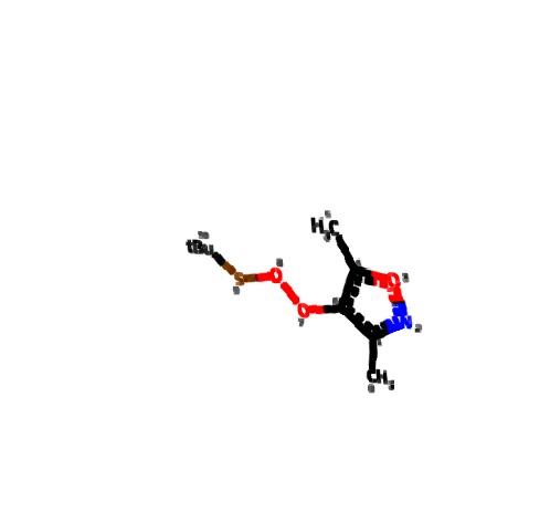 Cc1noc(C)c1OOSC(C)(C)C